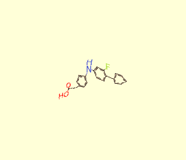 O=C(O)Cc1ccc(Nc2ccc(-c3ccccc3)c(F)c2)cc1